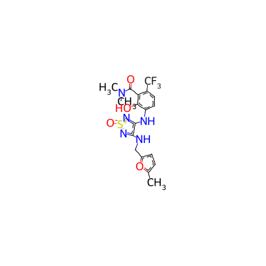 Cc1ccc(CNc2n[s+]([O-])nc2Nc2ccc(C(F)(F)F)c(C(=O)N(C)C)c2O)o1